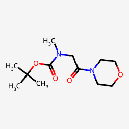 CN(CC(=O)N1CCOCC1)C(=O)OC(C)(C)C